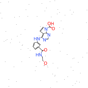 COCCNC(=O)c1cccc(Nc2ncnc3c2ccn3C(=O)O)c1